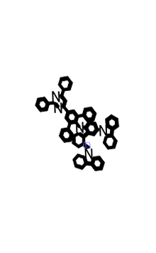 C1=CCC(c2cc(-c3cc(-c4ccccc4)c(-n4c5c(c6cc(-n7c8c(c9ccccc97)C=CCC8)ccc64)/C(=C/n4c6c(c7ccccc74)C=CCC6)CC=C5)c(-c4ccccc4)c3)nc(-c3ccccc3)n2)C=C1